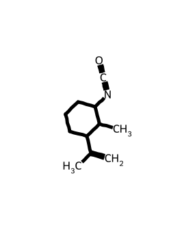 C=C(C)C1CCCC(N=C=O)C1C